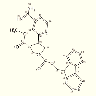 COC(=O)[C@H]1CN(C(=O)OCC2c3ccccc3-c3ccccc32)C[C@@H]1c1cccc(C(=N)N)c1